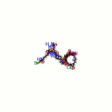 COc1cc2cc(c1Cl)N(C)C(=O)C[C@H](OC(=O)[C@H](C)N(C)C(=O)c1ccc3nc(NC(=O)[C@H](CCCNC(N)=O)NC(=O)[C@@H](NC(=O)CCCCCNC(=O)CCBr)C(C)C)ccc3c1)[C@]1(C)O[C@H]1[C@H](C)[C@@H]1C[C@@](O)(NC(=O)O1)[C@H](OC)/C=C/C=C(\C)C2